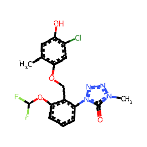 Cc1cc(O)c(Cl)cc1OCc1c(OC(F)F)cccc1-n1nnn(C)c1=O